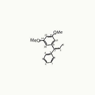 CC=C(c1ccccc1)c1cc(OC)cc(OC)c1